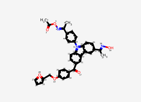 CC(=O)ON=C(C)c1ccc(-n2c3ccc(C(=O)c4ccc(OCc5ccco5)cc4)cc3c3cc(C(C)=NO)ccc32)cc1